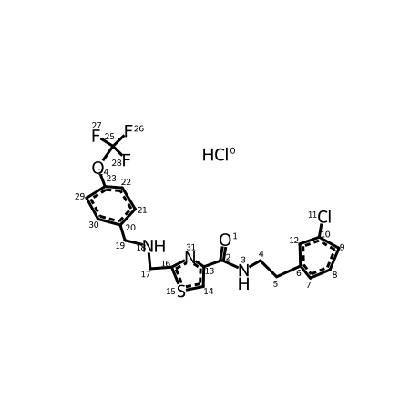 Cl.O=C(NCCc1cccc(Cl)c1)c1csc(CNCc2ccc(OC(F)(F)F)cc2)n1